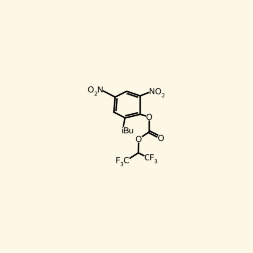 CCC(C)c1cc([N+](=O)[O-])cc([N+](=O)[O-])c1OC(=O)OC(C(F)(F)F)C(F)(F)F